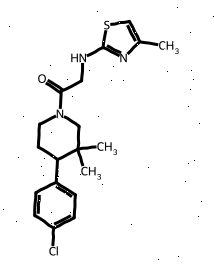 Cc1csc(NCC(=O)N2CCC(c3ccc(Cl)cc3)C(C)(C)C2)n1